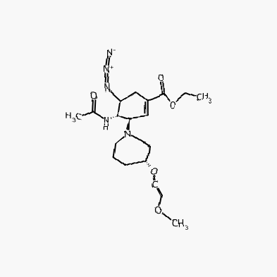 CCOC(=O)C1=C[C@@H](N2CCC[C@@H](OCCOC)C2)[C@H](NC(C)=O)C(N=[N+]=[N-])C1